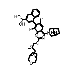 C[C@@H](COc1nc(N2CC3CCC(C2)N3)c2cc(Cl)c(-c3cc(B(O)O)cc4ccccc34)c(F)c2n1)CN1C2CCC1COC2